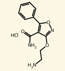 Cl.NCCOc1noc(-c2ccccc2)c1C(N)=O